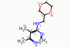 C=N/C(NCC1COCCO1)=C(/C)C(C)=N